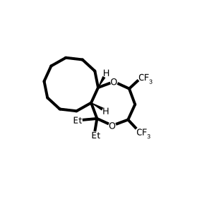 CCC1(CC)OC(C(F)(F)F)CC(C(F)(F)F)O[C@H]2CCCCCCCC[C@H]21